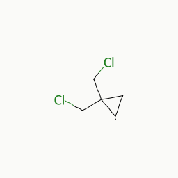 ClCC1(CCl)[CH]C1